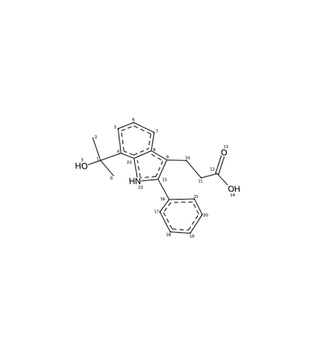 CC(C)(O)c1cccc2c(CCC(=O)O)c(-c3ccccc3)[nH]c12